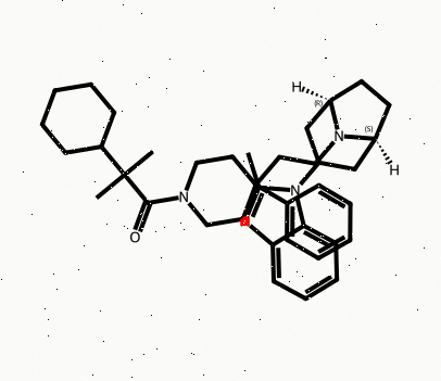 Cc1nc2ccccc2n1C1C[C@H]2CC[C@@H](C1)N2CCC1(c2ccccc2)CCN(C(=O)C(C)(C)C2CCCCC2)CC1